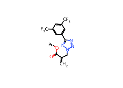 C=C(Cn1nnc(-c2cc(C(F)(F)F)cc(C(F)(F)F)c2)n1)C(=O)OC(C)C